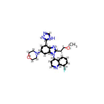 COCCc1nc2c(-c3nnc[nH]3)cc(N3CCOCC3)cc2n1-c1ccnc2c(F)cccc12